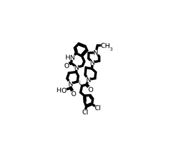 CCN1CCN(C2CCN(C(=O)C(Cc3ccc(Cl)c(Cl)c3)[C@H]3CC(N4CCc5ccccc5NC4=O)CCN3C(=O)O)CC2)CC1